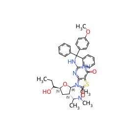 CCC(O)[C@@H]1C[C@@H](C(C)N(C)C)[C@H](n2c(=O)sc3c(=O)[nH]c(NC(c4ccccc4)(c4ccccc4)c4ccc(OC)cc4)nc32)O1